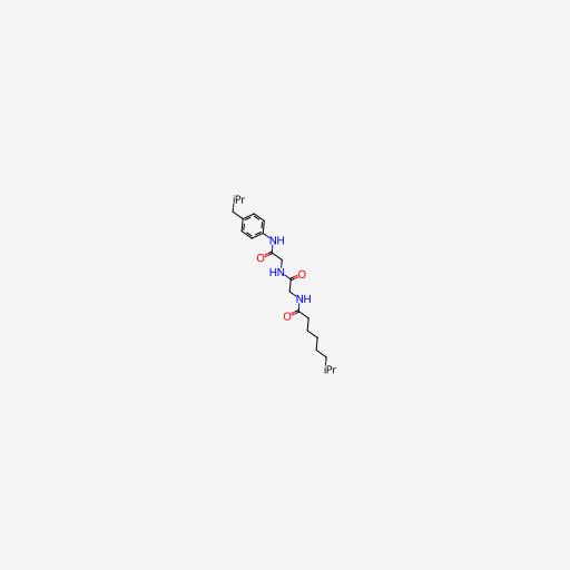 CC(C)CCCCCC(=O)NCC(=O)NCC(=O)Nc1ccc(CC(C)C)cc1